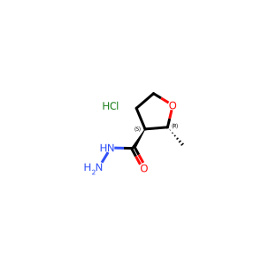 C[C@H]1OCC[C@@H]1C(=O)NN.Cl